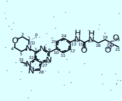 C[C@H]1COCCN1c1nc(-c2ccc(NC(=O)NCCS(C)(=O)=O)cc2)nc2cnn(C)c12